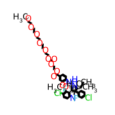 COCCOCCOCCOCCOCCOC(=O)OCCOC(=O)c1ccc(NC(=O)[C@@H]2N[C@@H](CC(C)(C)C)[C@](C#N)(c3ccc(Cl)cc3F)[C@H]2c2cccc(Cl)c2F)c(OC)c1